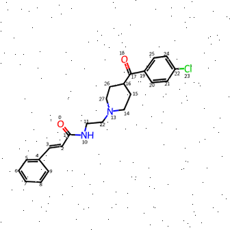 O=C(C=Cc1ccccc1)NCCN1CCC(C(=O)c2ccc(Cl)cc2)CC1